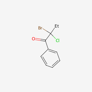 CCC(Cl)(Br)C(=O)c1ccccc1